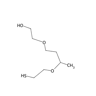 CC(CCOCCO)OCCS